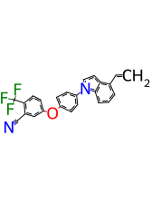 C=Cc1cccc2c1ccn2-c1ccc(Oc2ccc(C(F)(F)F)c(C#N)c2)cc1